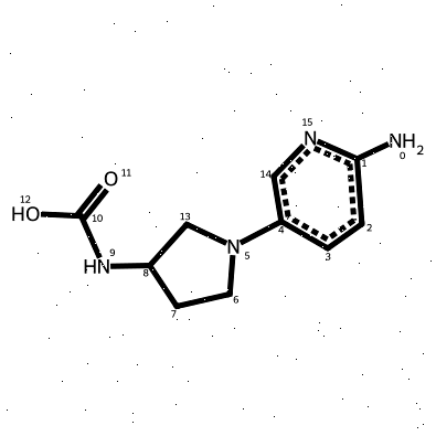 Nc1ccc(N2CCC(NC(=O)O)C2)cn1